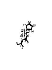 CC(C)=CC(C)=[CH][Ti]([CH3])([CH3])([CH3])([CH3])([CH3])[C]1=CC=CC1